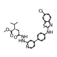 COC(=O)[C@H](CC(=O)NNc1cc(-c2ccc(Nc3nc4ccc(Cl)cc4s3)cc2)ccn1)C(C)C